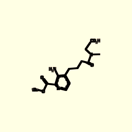 CN(CC(=O)O)C(=O)CCCc1ccnc(C(=O)OC(C)(C)C)c1N